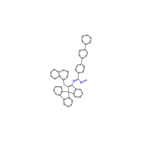 C=N/C(=N\C1=C(Cc2cccc3ccccc23)C2(c3ccccc31)c1ccccc1-c1ccccc12)c1ccc(-c2ccc(-c3ccccc3)cc2)cc1